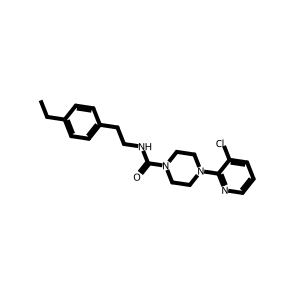 CCc1ccc(CCNC(=O)N2CCN(c3ncccc3Cl)CC2)cc1